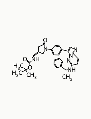 C[C@@H](Nc1ccc2ncc(-c3ccc(N4C/C(=C\NC(=O)OC(C)(C)C)CC4=O)cc3)n2n1)c1ccccc1